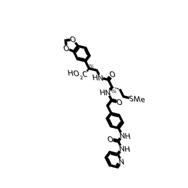 CSCC[C@H](NC(=O)Cc1ccc(NC(=O)Nc2ccccn2)cc1)C(=O)NC[C@@H](C(=O)O)c1ccc2c(c1)OCO2